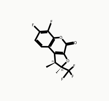 C[C@H]1c2c(c(=O)oc3c(F)c(F)ccc23)O[C@@]1(C)C(F)(F)F